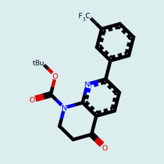 CC(C)(C)OC(=O)N1CCC(=O)c2ccc(-c3cccc(C(F)(F)F)c3)nc21